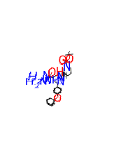 C/C(=N\N(CCC(N)(O)NN)[C@@H]1CCCN(C(=O)OC(C)(C)C)C1)c1ccc(Oc2ccccc2)cc1